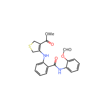 COC(=O)C1=C(Nc2ccccc2C(=O)Nc2ccccc2OC=O)CSC1